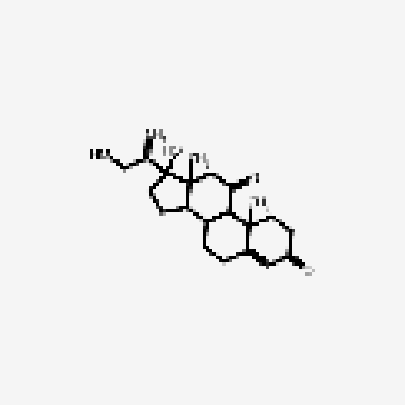 C=C(CO)C1(O)CCC2C3CCC4=CC(=O)CCC4(C)C3C(=O)CC21C